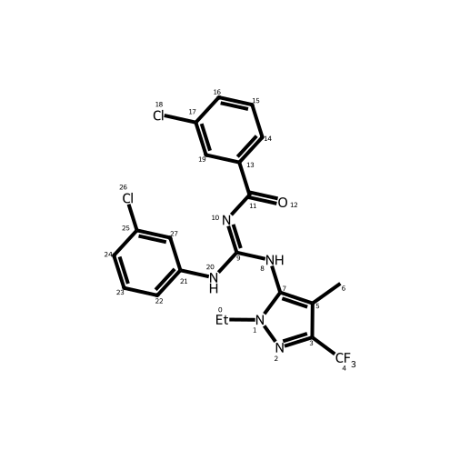 CCn1nc(C(F)(F)F)c(C)c1N/C(=N\C(=O)c1cccc(Cl)c1)Nc1cccc(Cl)c1